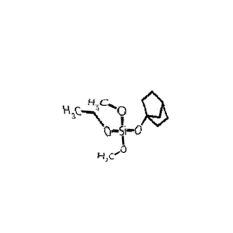 CCO[Si](OC)(OC)OC12CCC(CC1)C2